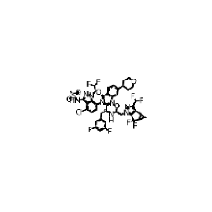 CS(=O)(=O)Nc1nn(CC(F)F)c2c(-n3c([C@H](Cc4cc(F)cc(F)c4)NC(=O)Cn4nc(C(F)F)c5c4C(F)(F)C4CC54)nc4cc(C5CCOCC5)ccc4c3=O)ccc(Cl)c12